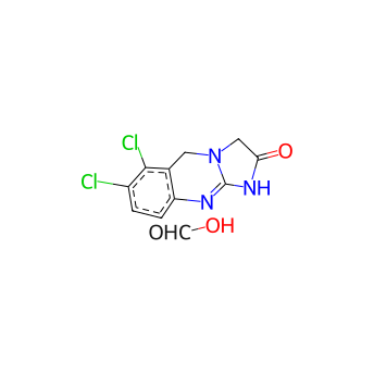 O=C1CN2Cc3c(ccc(Cl)c3Cl)N=C2N1.O=CO